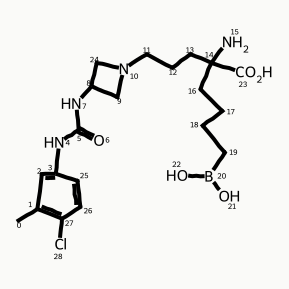 Cc1cc(NC(=O)NC2CN(CCCC(N)(CCCCB(O)O)C(=O)O)C2)ccc1Cl